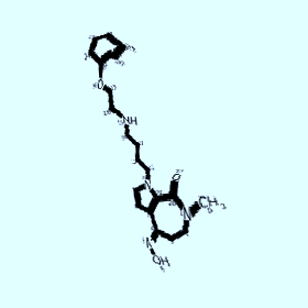 CN1CCC(=NO)c2ccn(CCCCNCCOc3ccccc3)c2C1=O